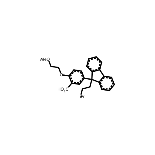 COCCOc1ccc(C2(CCC(C)C)c3ccccc3-c3ccccc32)cc1C(=O)O